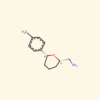 NC[C@@H]1CCC[C@H](c2ccc(C(F)(F)F)cc2)O1